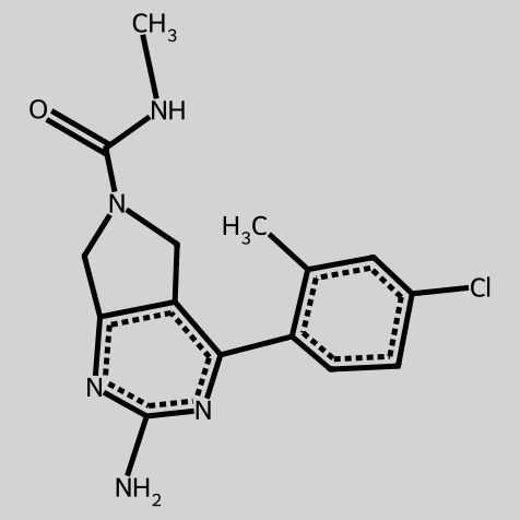 CNC(=O)N1Cc2nc(N)nc(-c3ccc(Cl)cc3C)c2C1